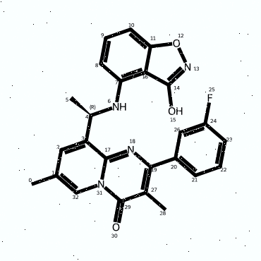 Cc1cc([C@@H](C)Nc2cccc3onc(O)c23)c2nc(-c3cccc(F)c3)c(C)c(=O)n2c1